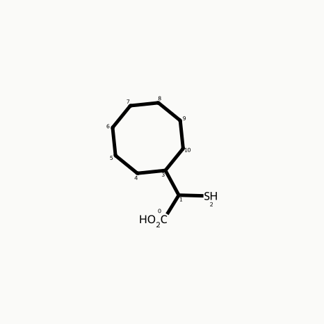 O=C(O)C(S)C1CCCCCCC1